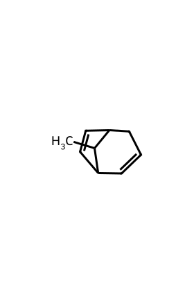 CC1C2C=CCC1C=C2